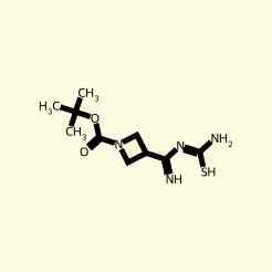 CC(C)(C)OC(=O)N1CC(C(=N)/N=C(/N)S)C1